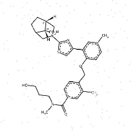 Cc1ccc(OCc2ccc(C(=O)N(C)CCCO)cc2C)c(-c2csc(N3CC4CC[C@H](C3)[C@@H]4C(=O)O)n2)c1